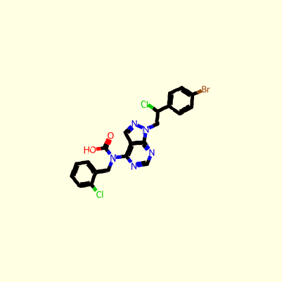 O=C(O)N(Cc1ccccc1Cl)c1ncnc2c1cnn2CC(Cl)c1ccc(Br)cc1